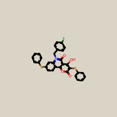 O=c1oc2c(c(O)c1Sc1ccccc1)c(=O)n(Cc1ccc(F)cc1)c1cc(Sc3ccccc3)ccc21